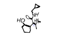 CN/C(C)=C(\C(=O)NCC1CC1)C1=C(O)CCCC1